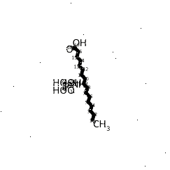 CCCCCCCCCCCCCCCCCC(=O)O.N.O=P(O)(O)O